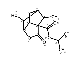 CC1C2CC3C(OC(=O)C13C(=O)OC(C(F)(F)F)C(F)(F)F)C2O